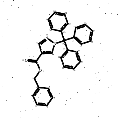 O=C(OCc1ccccc1)c1cnn(C(c2ccccc2)(c2ccccc2)c2ccccc2)c1